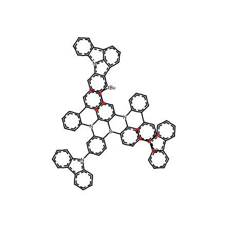 CC(C)(C)c1ccc(-c2ccccc2N2c3cc(-n4c5ccccc5c5ccccc54)ccc3B3c4ccc(-n5c6ccccc6c6ccccc65)cc4N(c4ccccc4-c4ccc(C(C)(C)C)cc4)c4cc(-c5ccc6c(c5)c5cccc7c8ccccc8n6c75)cc2c43)cc1